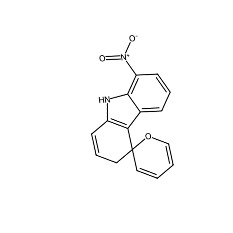 O=[N+]([O-])c1cccc2c3c([nH]c12)C=CCC31C=CC=CO1